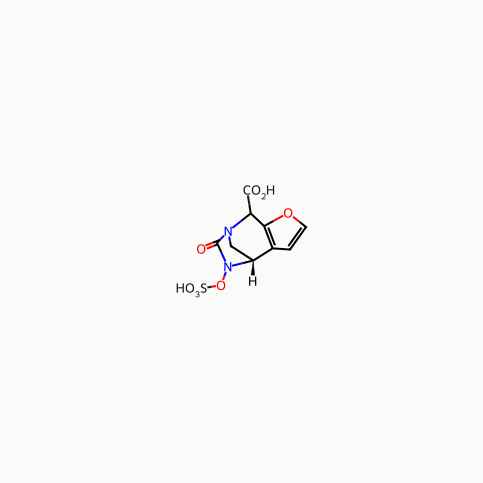 O=C(O)C1c2occc2[C@H]2CN1C(=O)N2OS(=O)(=O)O